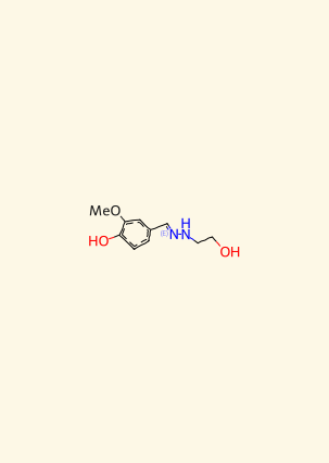 COc1cc(/C=N/NCCO)ccc1O